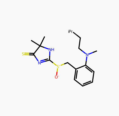 CC(C)CCN(C)c1ccccc1C[S+]([O-])C1=NC(=S)C(C)(C)N1